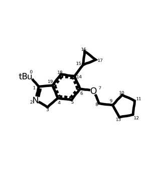 CC(C)(C)C1=NCc2cc(OCC3CCCC3)c(C3CC3)cc21